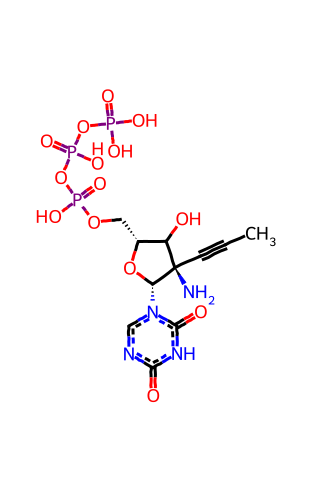 CC#C[C@@]1(N)C(O)[C@@H](COP(=O)(O)OP(=O)(O)OP(=O)(O)O)O[C@H]1n1cnc(=O)[nH]c1=O